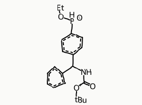 CCO[PH](=O)c1ccc(C(NC(=O)OC(C)(C)C)c2ccccc2)cc1